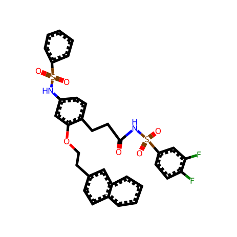 O=C(CCc1ccc(NS(=O)(=O)c2ccccc2)cc1OCCc1ccc2ccccc2c1)NS(=O)(=O)c1ccc(F)c(F)c1